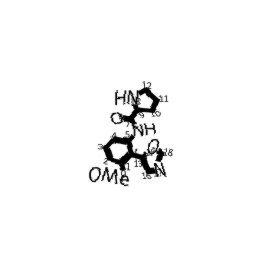 COc1cccc(NC(=O)C2CCCN2)c1-c1cnco1